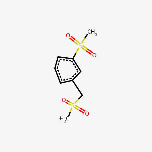 [CH2]S(=O)(=O)Cc1cccc(S(C)(=O)=O)c1